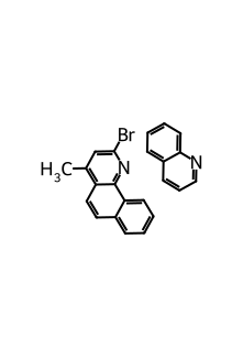 Cc1cc(Br)nc2c1ccc1ccccc12.c1ccc2ncccc2c1